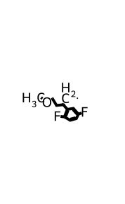 [CH2]C(CCOC)c1cc(F)ccc1F